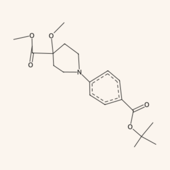 COC(=O)C1(OC)CCN(c2ccc(C(=O)OC(C)(C)C)cc2)CC1